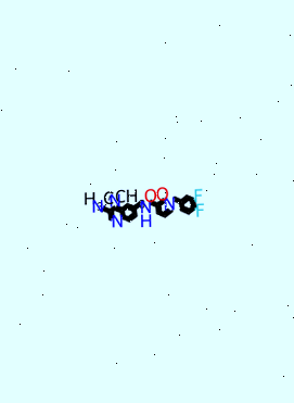 CN(C)c1c(C#N)cnc2ccc(CNC(=O)c3cccn(Cc4ccc(F)c(F)c4)c3=O)cc12